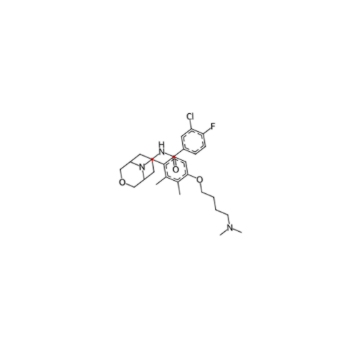 Cc1c(CN2C3COCC2CC(NC(=O)c2ccc(F)c(Cl)c2)C3)ccc(OCCCCN(C)C)c1C